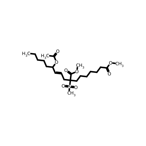 CCCCCC(C=CCC(CCCCCCC(=O)OC)(C(=O)OC)S(C)(=O)=O)OC(C)=O